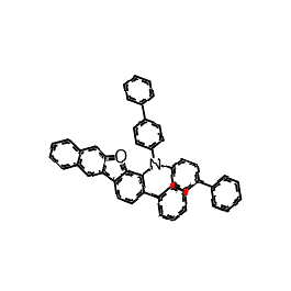 c1ccc(-c2ccc(N(c3ccc(-c4ccccc4)cc3)c3c(-c4ccccc4)ccc4c3oc3cc5ccccc5cc34)cc2)cc1